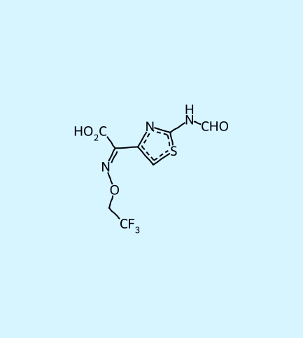 O=CNc1nc(/C(=N\OCC(F)(F)F)C(=O)O)cs1